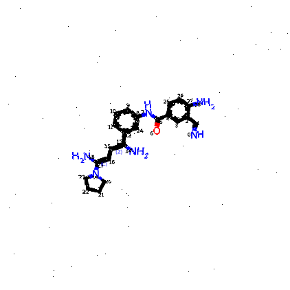 N=Cc1cc(C(=O)Nc2cccc(/C(N)=C/C=C(\N)N3CCCC3)c2)ccc1N